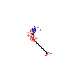 Nc1ccn([C@@H]2O[C@H](COP(=O)(O)OCCCCCCCCCCCCCCCC(=O)O)[C@@H](O)[C@@H]2O)c(=O)n1